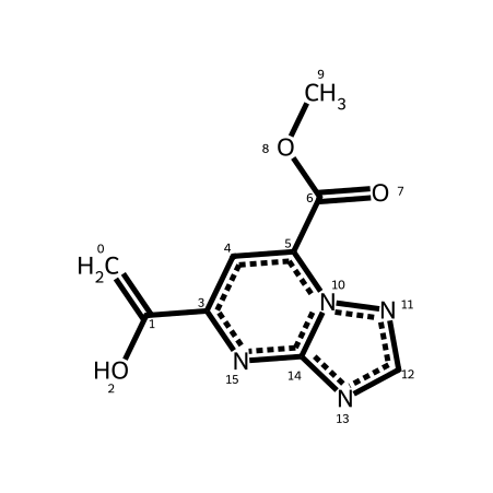 C=C(O)c1cc(C(=O)OC)n2ncnc2n1